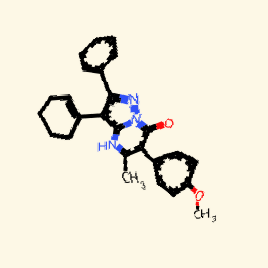 COc1ccc(-c2c(C)[nH]c3c(C4=CCCCC4)c(-c4ccccc4)nn3c2=O)cc1